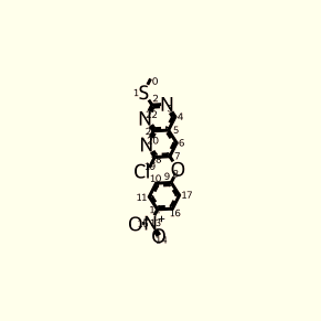 CSc1ncc2cc(Oc3ccc([N+](=O)[O-])cc3)c(Cl)nc2n1